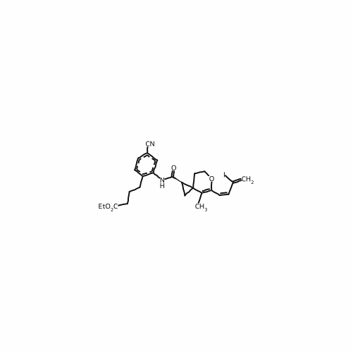 C=C(I)/C=C\C1=C(C)C2(CCO1)C[C@H]2C(=O)Nc1cc(C#N)ccc1CCCC(=O)OCC